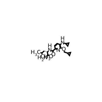 CC(C)C[C@H](NC(=O)c1ccc(NC2CC2)c(OCC2CC2)n1)C(N)=O